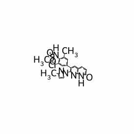 Cc1ccn(-c2nc3[nH]c(=O)ccc3cc2-c2cc(C)c(NS(C)(=O)=O)c(Cl)c2)n1